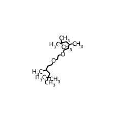 CC(CCOCCOCCC(C)CC(C)(C)C)CC(C)(C)C